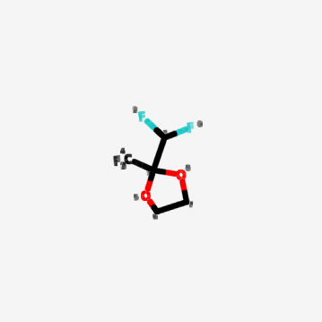 FC(F)C1(C(F)(F)F)OCCO1